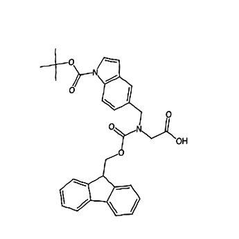 CC(C)(C)OC(=O)n1ccc2cc(CN(CC(=O)O)C(=O)OCC3c4ccccc4-c4ccccc43)ccc21